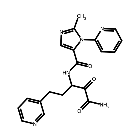 Cc1ncc(C(=O)NC(CCc2cccnc2)C(=O)C(N)=O)n1-c1ccccn1